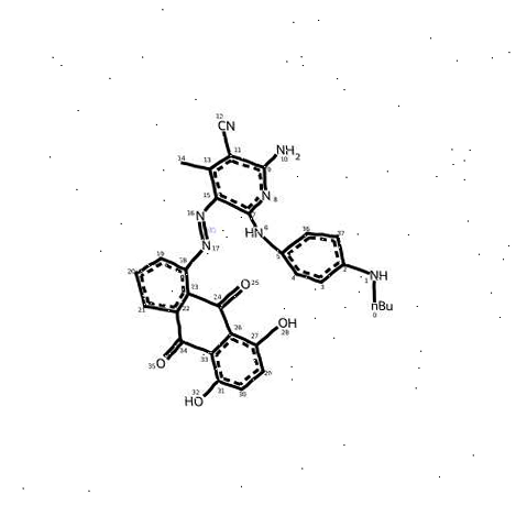 CCCCNc1ccc(Nc2nc(N)c(C#N)c(C)c2/N=N/c2cccc3c2C(=O)c2c(O)ccc(O)c2C3=O)cc1